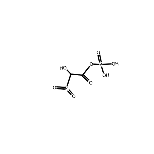 O=C(OP(=O)(O)O)C(O)P(=O)=O